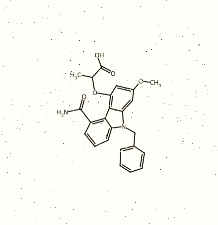 COc1cc(OC(C)C(=O)O)c2c3c(C(N)=O)cccc3n(Cc3ccccc3)c2c1